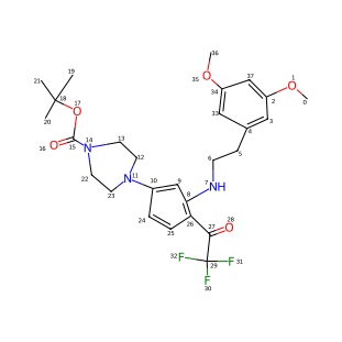 COc1cc(CCNc2cc(N3CCN(C(=O)OC(C)(C)C)CC3)ccc2C(=O)C(F)(F)F)cc(OC)c1